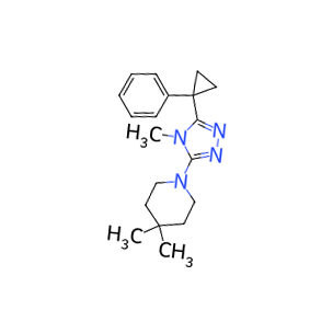 Cn1c(N2CCC(C)(C)CC2)nnc1C1(c2ccccc2)CC1